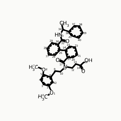 COc1ccc(OC)c(CCN(CCC(=O)O)C(=O)c2ccccc2-c2ccccc2C(=O)NC(C)c2ccccc2)c1